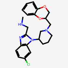 CNCc1nc2ccc(Cl)cc2n1C1CCCN(CC2COc3ccccc3O2)C1